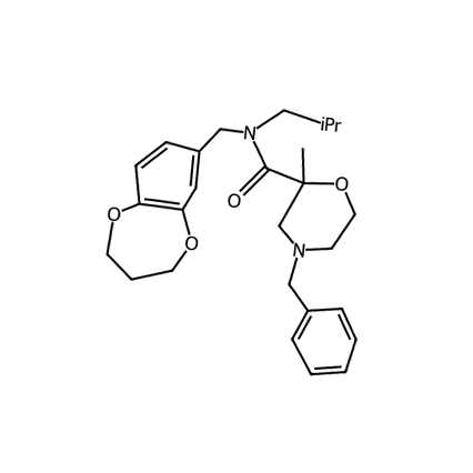 CC(C)CN(Cc1ccc2c(c1)OCCCO2)C(=O)C1(C)CN(Cc2ccccc2)CCO1